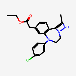 CCOC(=O)Cc1ccc2c(c1)N(c1ccc(Cl)cc1)CCn1[nH]c(C)c1-2